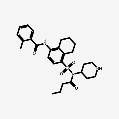 CCCC(=O)N(C1CCNCC1)S(=O)(=O)c1ccc(NC(=O)c2ccccc2C)c2c1CCCC2